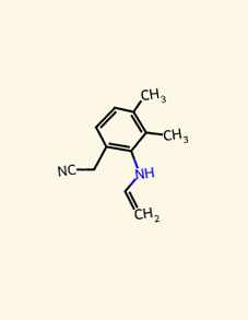 C=CNc1c(CC#N)ccc(C)c1C